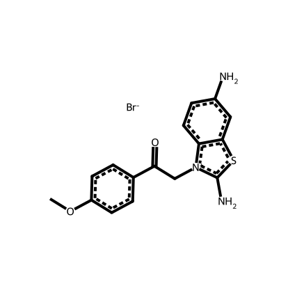 COc1ccc(C(=O)C[n+]2c(N)sc3cc(N)ccc32)cc1.[Br-]